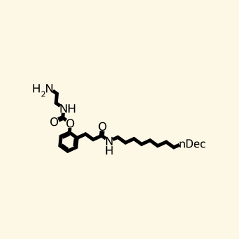 CCCCCCCCCCCCCCCCCCNC(=O)CCc1ccccc1OC(=O)NCCN